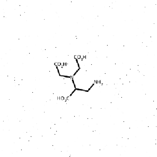 NCC(C(=O)O)N(CC(=O)O)CC(=O)O